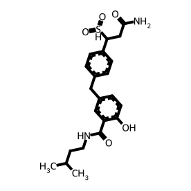 CC(C)CCNC(=O)c1cc(Cc2ccc(C(CC(N)=O)[SH](=O)=O)cc2)ccc1O